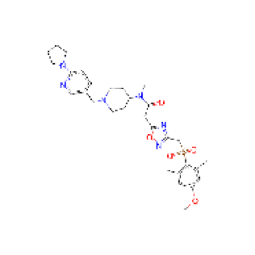 COc1cc(C)c(S(=O)(=O)Cc2noc(CC(=O)N(C)C3CCN(Cc4ccc(N5CCCC5)nc4)CC3)n2)c(C)c1